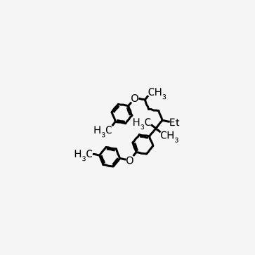 CCC(CCC(C)Oc1ccc(C)cc1)C(C)(C)C1=CC=C(Oc2ccc(C)cc2)CC1